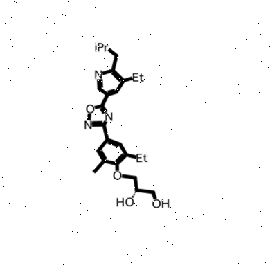 CCc1cc(-c2nc(-c3cc(C)c(OC[C@@H](O)CO)c(CC)c3)no2)cnc1CC(C)C